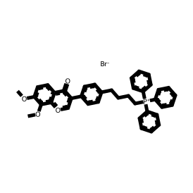 COc1ccc2c(=O)c(-c3ccc(CCCC[P+](c4ccccc4)(c4ccccc4)c4ccccc4)cc3)coc2c1OC.[Br-]